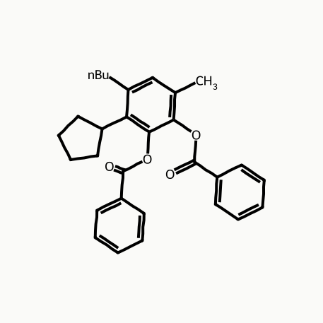 CCCCc1cc(C)c(OC(=O)c2ccccc2)c(OC(=O)c2ccccc2)c1C1CCCC1